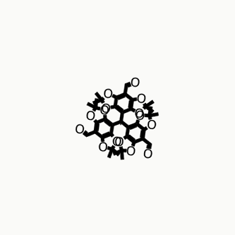 CC1(C)Oc2c(C=O)c3c(c([C](c4c5c(c(C=O)c6c4OC(C)(C)O6)OC(C)(C)O5)c4c5c(c(C=O)c6c4OC(C)(C)O6)OC(C)(C)O5)c2O1)OC(C)(C)O3